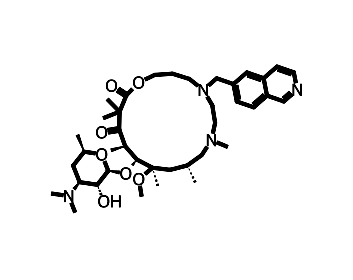 CO[C@]1(C)C[C@@H](C)CN(C)CCN(Cc2ccc3cnccc3c2)CCCOC(=O)C(C)(C)C(=O)[C@H](C)[C@H]1O[C@@H]1O[C@H](C)C[C@H](N(C)C)[C@H]1O